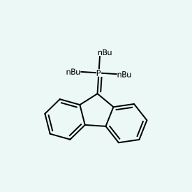 CCCCP(CCCC)(CCCC)=C1c2ccccc2-c2ccccc21